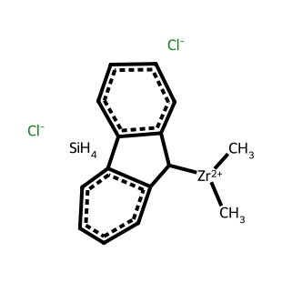 [CH3][Zr+2]([CH3])[CH]1c2ccccc2-c2ccccc21.[Cl-].[Cl-].[SiH4]